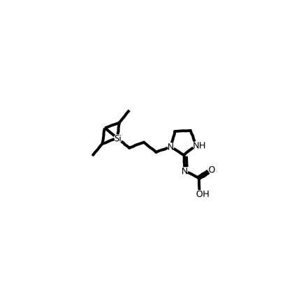 CC1C2C(C)[Si]12CCCN1CCN/C1=N\C(=O)O